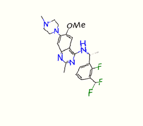 COc1cc2c(N[C@H](C)c3cccc(C(F)F)c3F)nc(C)nc2cc1N1CCN(C)CC1